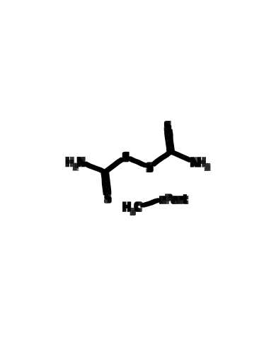 CCCCCC.NC(=S)SSC(N)=S